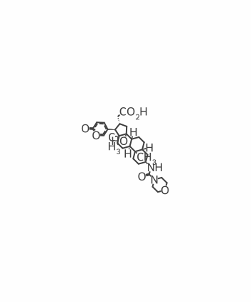 C[C@]12CC[C@H](NC(=O)N3CCOCC3)C[C@H]1CC[C@@H]1[C@@H]2CC[C@]2(C)[C@@H](c3ccc(=O)oc3)[C@H](CC(=O)O)C[C@]12O